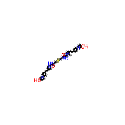 CC1C(/C=C/c2ccc(N3CCC(O)C3)cc2)=CC=[N+]1CC(=O)NCCSSCCNC(=O)C[n+]1ccc(/C=C/c2ccc(N3CCC(O)C3)cc2)cc1